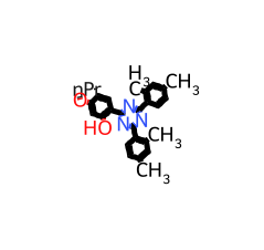 CC[CH]Oc1ccc(-c2nc(-c3ccc(C)cc3C)nc(-c3ccc(C)cc3C)n2)c(O)c1